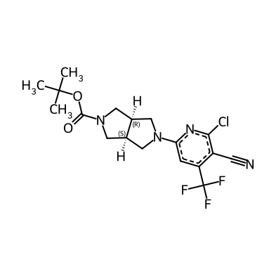 CC(C)(C)OC(=O)N1C[C@@H]2CN(c3cc(C(F)(F)F)c(C#N)c(Cl)n3)C[C@@H]2C1